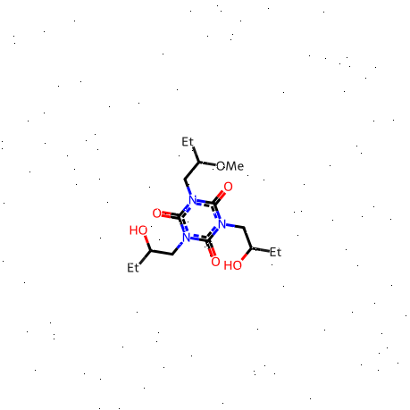 CCC(O)Cn1c(=O)n(CC(O)CC)c(=O)n(CC(CC)OC)c1=O